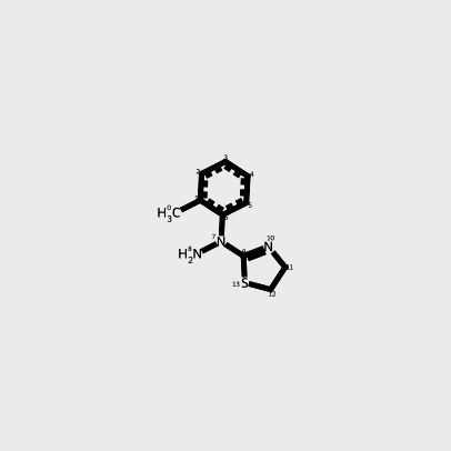 Cc1ccccc1N(N)C1=NCCS1